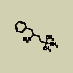 CC(C)(N)CCC(N)Cc1ccccc1